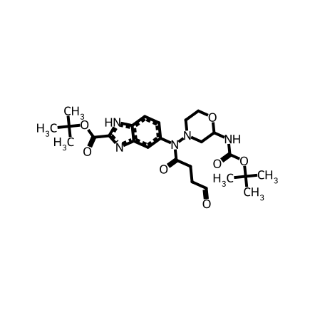 CC(C)(C)OC(=O)NC1CN(N(C(=O)CCC=O)c2ccc3[nH]c(C(=O)OC(C)(C)C)nc3c2)CCO1